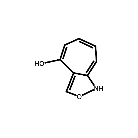 OC1=CC=CC=C2NOC=C12